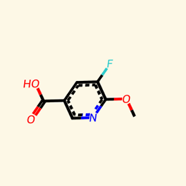 COc1ncc(C(=O)O)cc1F